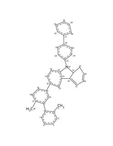 Cc1ccccc1-c1cc(-c2ccc3c(c2)C2=CC=CCC2N3c2ccc(-c3ccccc3)cc2)ccc1C